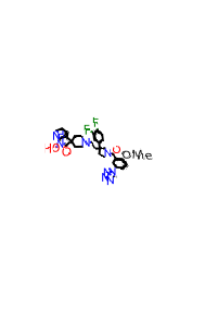 COc1ccc(-n2cnnn2)cc1C(=O)N1CCC(CCN2CCC(C(=O)NO)(c3cccnc3)CC2)(c2ccc(F)c(F)c2)C1